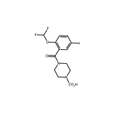 O=C(O)N1CCN(C(=O)c2cc(I)ccc2OC(F)F)CC1